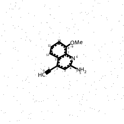 C#Cc1cc(N)nc2c(OC)cccc12